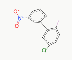 O=[N+]([O-])c1cccc(-c2cc(Cl)ccc2I)c1